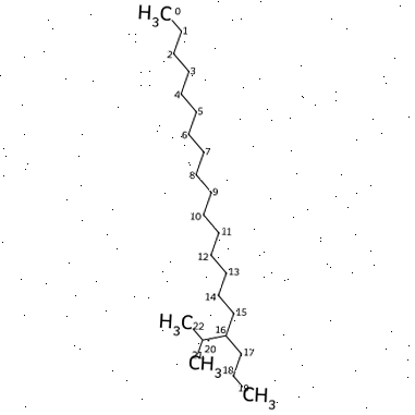 CCCCCCCCCCCCCCCCC(CCC)[C](C)C